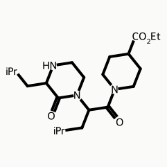 CCOC(=O)C1CCN(C(=O)C(CC(C)C)N2CCNC(CC(C)C)C2=O)CC1